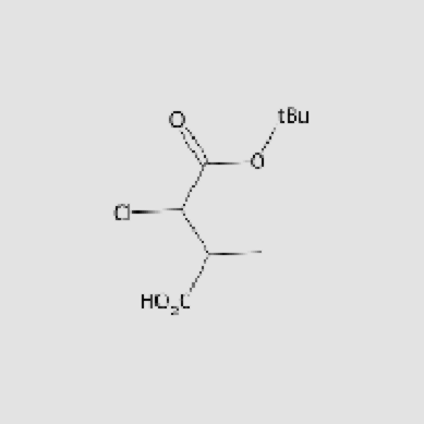 CC(C(=O)O)C(Cl)C(=O)OC(C)(C)C